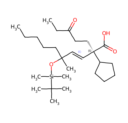 CCCCCC(C)(/C=C/[C@@](CCC(=O)CC)(C(=O)O)C1CCCC1)O[Si](C)(C)C(C)(C)C